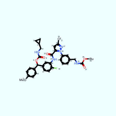 COc1ccc(C(OC(=O)NCC2CC2)c2ccc(F)c(NC(=O)c3cc(C(F)(F)F)nn3-c3cccc(CNC(=O)OC(C)(C)C)c3)c2)cc1